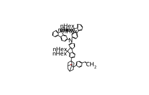 C=Cc1ccc(C23CC4CC(C2)CC(c2ccc5c(c2)C(CCCCCC)(CCCCCC)c2cc(N(c6ccc7c(c6)C(CCCCCC)(CCCCCC)c6ccccc6-7)c6ccc7c(c6)C(CCCCCC)(CCCCCC)c6ccccc6-7)ccc2-5)(C4)C3)cc1